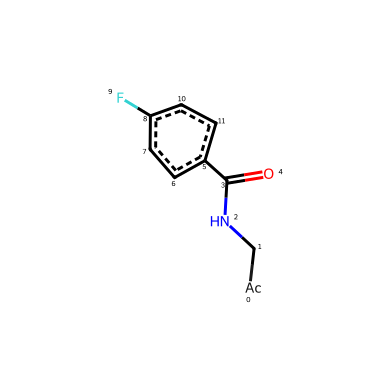 CC(=O)CNC(=O)c1ccc(F)cc1